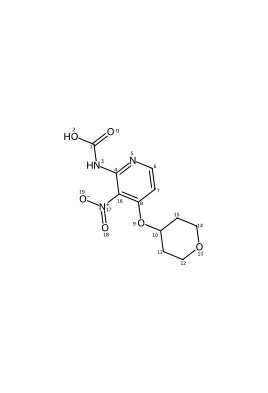 O=C(O)Nc1nccc(OC2CCOCC2)c1[N+](=O)[O-]